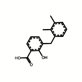 Cc1cccc(Cc2cccc(C(=O)O)c2O)c1C